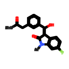 COC(=O)Cc1cccc(/C(O)=C2\C(=O)N(C(C)=O)c3cc(F)ccc32)c1